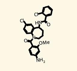 COc1cc(N)ccc1C(=O)N1CCCC(NC(=O)c2ccccc2Cl)c2cc(Cl)ccc21